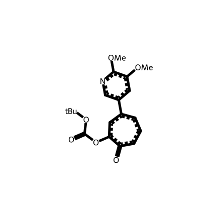 COc1cc(-c2cccc(=O)c(OC(=O)OC(C)(C)C)c2)cnc1OC